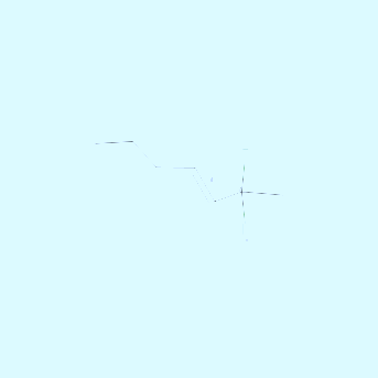 CCC/C=C/C(C)(F)F